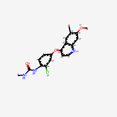 CNC(=O)Nc1ccc(Oc2ccnc3cc(OC)c(C)cc23)cc1Cl